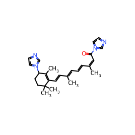 CC1=C(/C=C/C(C)=C/C=C/C(C)=C\C(=O)n2ccnc2)C(C)(C)CCC1n1ccnc1